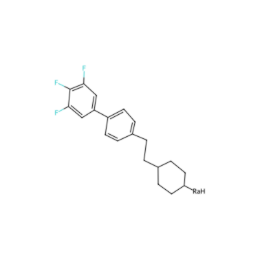 Fc1cc(-c2ccc(CCC3CC[CH]([RaH])CC3)cc2)cc(F)c1F